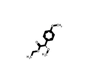 CCOC(=O)[C@@H](OC)c1ccc(OC)cc1